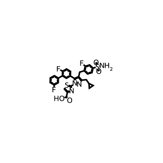 NS(=O)(=O)c1ccc(Cc2c(CC3CC3)nn(-c3nc(C(=O)O)cs3)c2-c2ccc(F)c(-c3cccc(F)c3)c2)c(F)c1